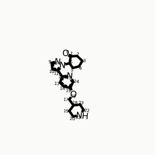 O=C1CCCCC1n1nccc1-c1ccc(OCC2CCNCC2)cn1